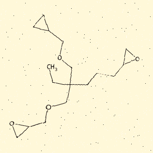 CCC(CCCC1CO1)(COCC1CC1)COCC1CO1